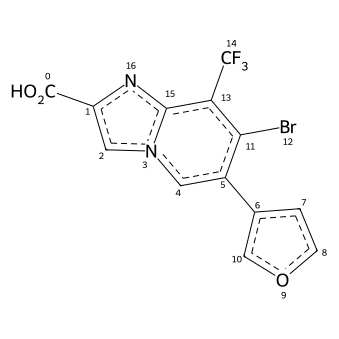 O=C(O)c1cn2cc(-c3ccoc3)c(Br)c(C(F)(F)F)c2n1